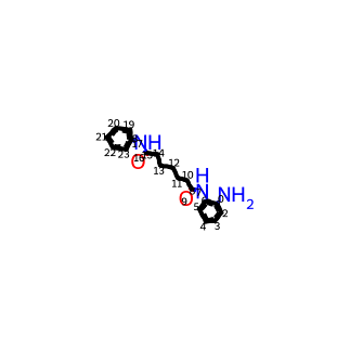 Nc1ccccc1NC(=O)CCCCCC(=O)Nc1ccccc1